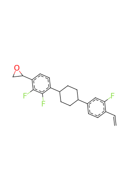 C=Cc1ccc(C2CCC(c3ccc(C4CO4)c(F)c3F)CC2)cc1F